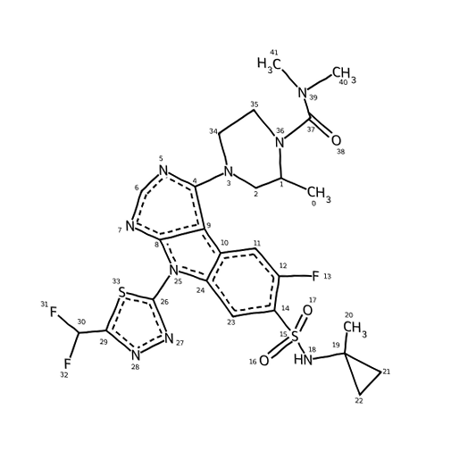 CC1CN(c2ncnc3c2c2cc(F)c(S(=O)(=O)NC4(C)CC4)cc2n3-c2nnc(C(F)F)s2)CCN1C(=O)N(C)C